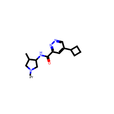 CC1CN(C(C)C)CC1NC(=O)c1cc(C2CCC2)cnn1